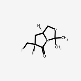 CC1(C)OC[C@@H]2C[C@@](F)(CF)C(=O)N21